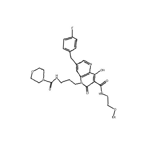 CCOCCNC(=O)c1c(O)c2ncc(Cc3ccc(F)cc3)cc2n(CCCNC(=O)N2CCOCC2)c1=O